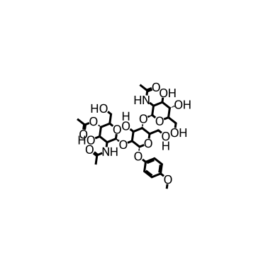 COc1ccc(O[C@H]2OC(CO)[C@@H](O[C@@H]3OC(CO)[C@@H](O)C(O)C3NC(C)=O)C(O)C2O[C@@H]2OC(CO)[C@@H](OC(C)=O)C(O)C2NC(C)=O)cc1